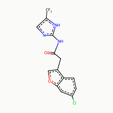 O=C(Cc1coc2cc(Cl)ccc12)Nc1ncc(C(F)(F)F)[nH]1